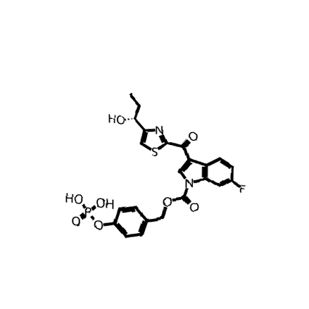 CC[C@@H](O)c1csc(C(=O)c2cn(C(=O)OCc3ccc(OP(=O)(O)O)cc3)c3cc(F)ccc23)n1